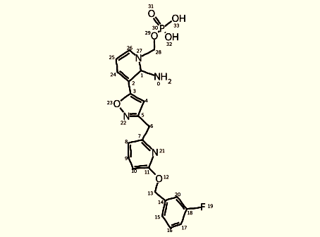 NC1C(c2cc(Cc3cccc(OCc4cccc(F)c4)n3)no2)=CC=CN1COP(=O)(O)O